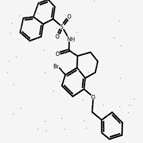 O=C(NS(=O)(=O)c1cccc2ccccc12)C1CCCc2c(OCc3ccccc3)ccc(Br)c21